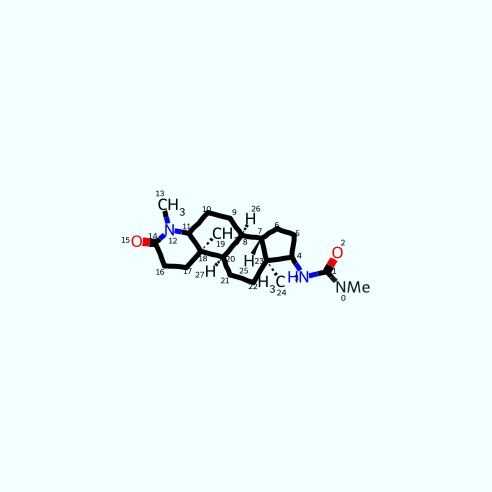 CNC(=O)NC1CC[C@H]2[C@@H]3CCC4N(C)C(=O)CC[C@]4(C)[C@@H]3CC[C@]12C